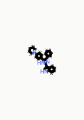 c1ccc(-c2nc(-c3c[nH]c4ccccc34)[nH]c2-c2ccc(N3CCCCC3)cc2)cc1